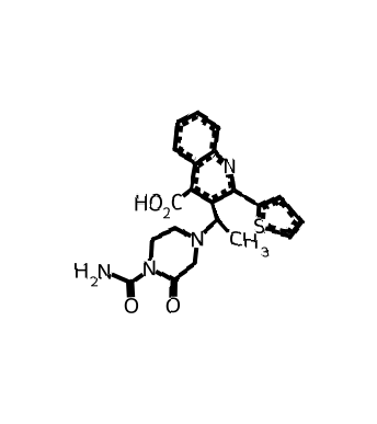 CC(c1c(-c2cccs2)nc2ccccc2c1C(=O)O)N1CCN(C(N)=O)C(=O)C1